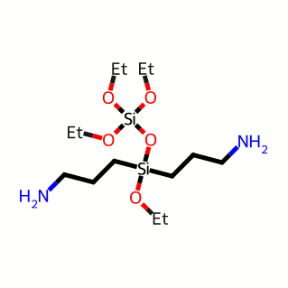 CCO[Si](CCCN)(CCCN)O[Si](OCC)(OCC)OCC